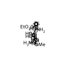 CCOC(=O)[C@H](NP(N)(=O)OC[C@H]1O[C@@H](n2cnc3c(OC)nc(N)nc32)C(C)(O)C1O)c1ccccc1